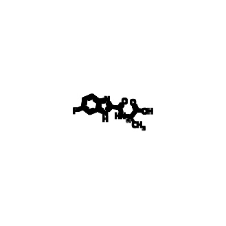 C[C@H](NC(=O)c1nc2ccc(F)cc2[nH]1)C(=O)O